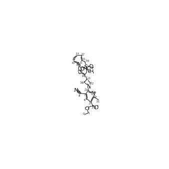 CCOC(=O)c1cc(C#N)c(N2CC(C(=O)NS(=O)(=O)Cc3cccc[n+]3[O-])C2)nc1C